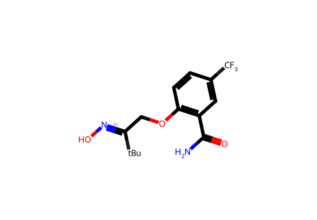 CC(C)(C)/C(COc1ccc(C(F)(F)F)cc1C(N)=O)=N\O